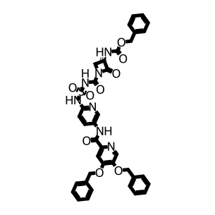 O=C(N[C@H]1CN(C(=O)NS(=O)(=O)Nc2ccc(NC(=O)c3cc(OCc4ccccc4)c(OCc4ccccc4)cn3)cn2)C1=O)OCc1ccccc1